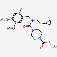 COc1cc(C)c(CN(CCC2CC2)C(=O)N2CCN(C(=O)OC(C)(C)C)CC2)cc1OC